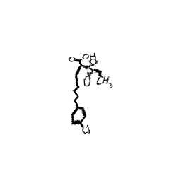 CCS(=O)(=O)C(CCCCCc1ccc(Cl)cc1)C(=O)O